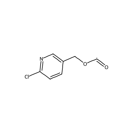 O=[C]OCc1ccc(Cl)nc1